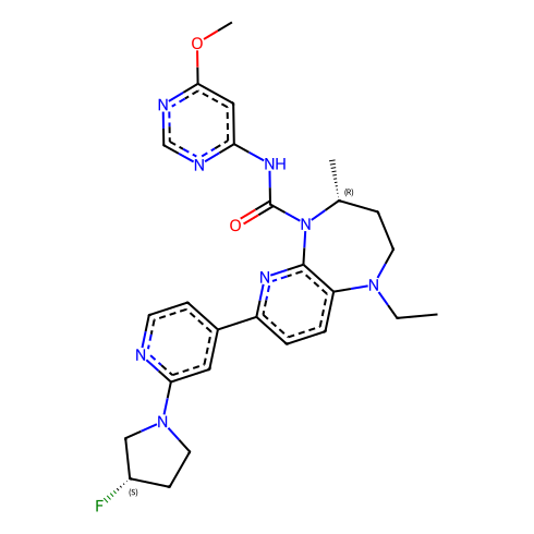 CCN1CC[C@@H](C)N(C(=O)Nc2cc(OC)ncn2)c2nc(-c3ccnc(N4CC[C@H](F)C4)c3)ccc21